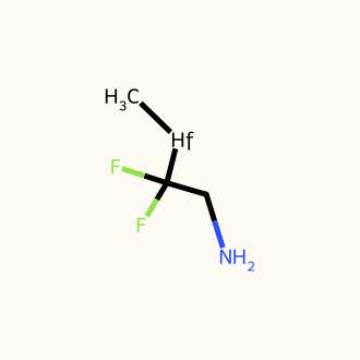 [CH3][Hf][C](F)(F)CN